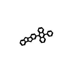 c1ccc(-c2c3ccccc3c(-c3ccc4c(c3)CC3=C4Cc4ccccc43)c3ccccc23)cc1